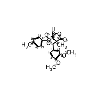 COc1ccc(C[C@]2(C)C(=O)OBN2S(=O)(=O)c2ccc(C)cc2)cc1OC